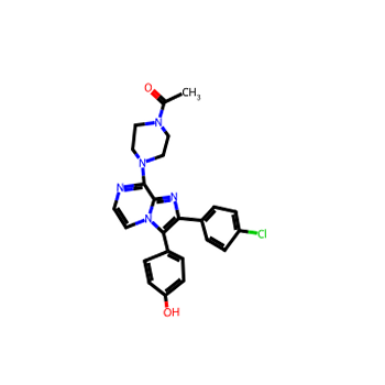 CC(=O)N1CCN(c2nccn3c(-c4ccc(O)cc4)c(-c4ccc(Cl)cc4)nc23)CC1